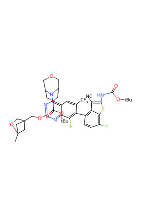 CC(C)(C)OC(=O)Nc1sc2c(F)ccc(-c3c(C(F)(F)F)cc4c(N5C6COCC5CN(C(=O)OC(C)(C)C)C6)nc(OCC56COC(C)(C5)C6)nc4c3F)c2c1C#N